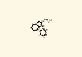 O=C(O)c1cc2ccccc2[nH]1.c1cncnc1